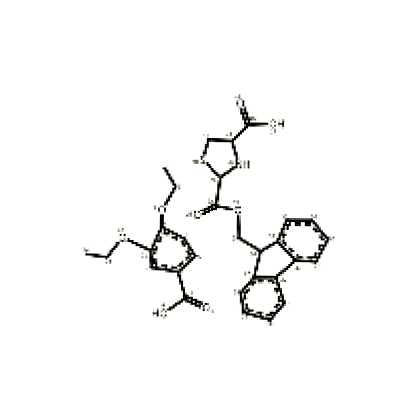 CCOc1ccc(C(=O)O)cc1OCC.O=C(O)C1CSC(C(=O)OCC2c3ccccc3-c3ccccc32)N1